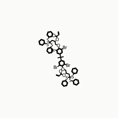 C=CC(=O)OC(COc1c(Br)cc(C(C)(C)c2cc(Br)c(OCC(CC(Sc3ccccc3)(Sc3ccccc3)Sc3ccccc3)OC(=O)C=C)c(Br)c2)cc1Br)CC(Sc1ccccc1)(Sc1ccccc1)Sc1ccccc1